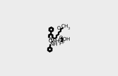 CCC(=O)CCCCCC(NC(=O)NCc1ccccc1)c1cc(-c2ccccc2)ccn1.O=C(O)C(F)(F)F